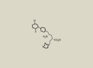 CCOC(=O)[C@H](CCn1ccnn1)C[C@H](N)Cc1ccc(-c2cc(Cl)ccc2F)cc1